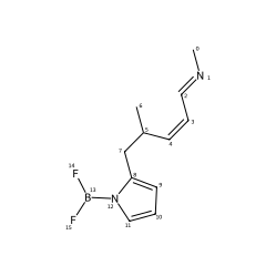 C/N=C/C=C\C(C)Cc1cccn1B(F)F